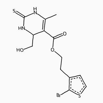 CC1=C(C(=O)OCCc2ccsc2Br)C(CO)NC(=S)N1